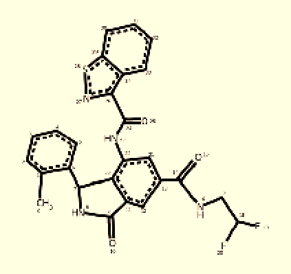 Cc1ccccc1C1NC(=O)c2cc(C(=O)NCC(F)F)cc(NC(=O)c3nsc4ccccc34)c21